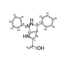 C=C(O)c1cc2c([nH]1)N(c1ccccc1)NC2c1ccccc1